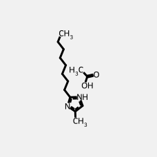 CC(=O)O.CCCCCCCCc1nc(C)c[nH]1